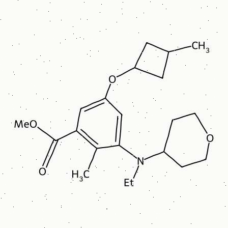 CCN(c1cc(OC2CC(C)C2)cc(C(=O)OC)c1C)C1CCOCC1